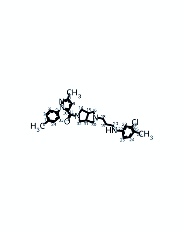 Cc1ccc(-n2nc(C)cc2C(=O)N2CC3CN(CCCNc4ccc(C)c(Cl)c4)CC3C2)cc1